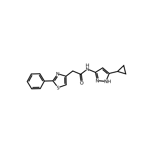 O=C(Cc1csc(-c2ccccc2)n1)Nc1cc(C2CC2)[nH]n1